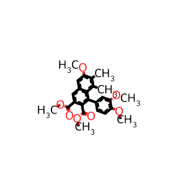 COC(=O)c1cc2cc(OC)c(C)c(C)c2c(-c2ccc(OC)c(OC)c2)c1C(=O)OC